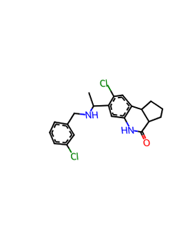 CC(NCc1cccc(Cl)c1)c1cc2c(cc1Cl)C1CCCC1C(=O)N2